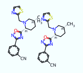 C[C@@H]1CC[C@H](c2nc(-c3cccc(C#N)c3)no2)N(Cc2nccs2)C1.C[C@@H]1CC[C@H](c2nc(-c3cccc(C#N)c3)no2)N(Cc2nccs2)C1